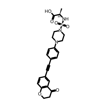 C[C@@H](NS(=O)(=O)N1CCN(c2ccc(C#Cc3ccc4c(c3)C(=O)CCO4)cc2)CC1)C(=O)O